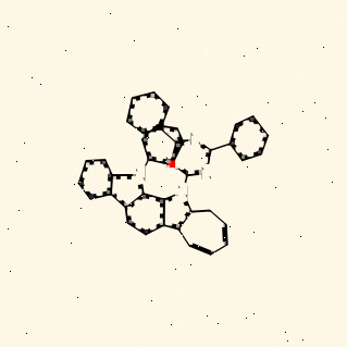 C1=CCc2c(c3ccc4c5ccccc5n(-c5ccccc5)c4c3n2-c2nc(-c3ccccc3)nc(-c3ccccc3)n2)C=C1